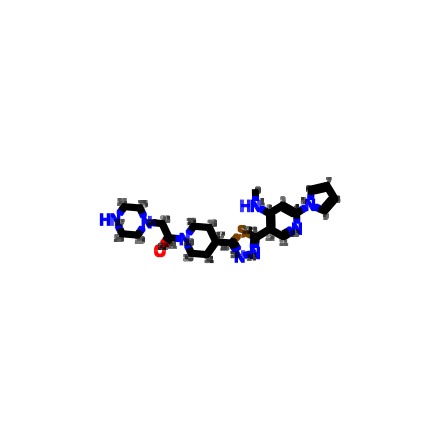 CNc1cc(-n2cccc2)ncc1-c1nnc(C2CCN(C(=O)CN3CCNCC3)CC2)s1